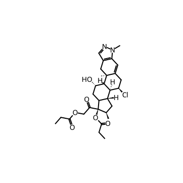 CCC(=O)OCC(=O)[C@]1(OC(=O)CC)C2C[C@H](O)[C@H]3[C@@H]([C@H](Cl)CC4=Cc5c(cnn5C)C[C@@]43C)[C@@H]2C[C@H]1C